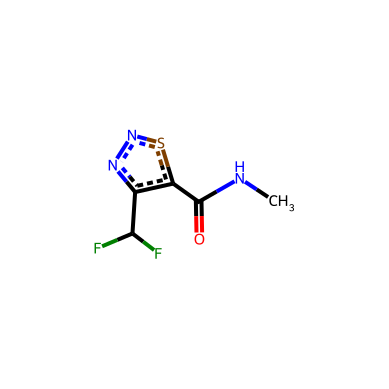 CNC(=O)c1snnc1C(F)F